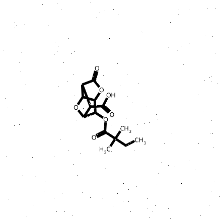 CCC(C)(C)C(=O)OC1C2OC(=O)C3C2OC1C3C(=O)O